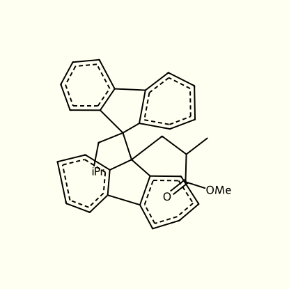 COC(=O)C(C)CC1(C2(CC(C)C)c3ccccc3-c3ccccc32)c2ccccc2-c2ccccc21